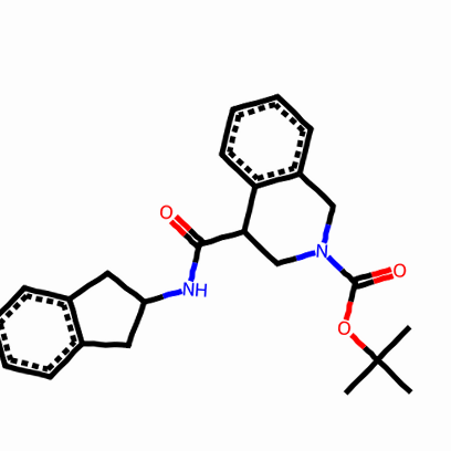 CC(C)(C)OC(=O)N1Cc2ccccc2C(C(=O)NC2Cc3ccccc3C2)C1